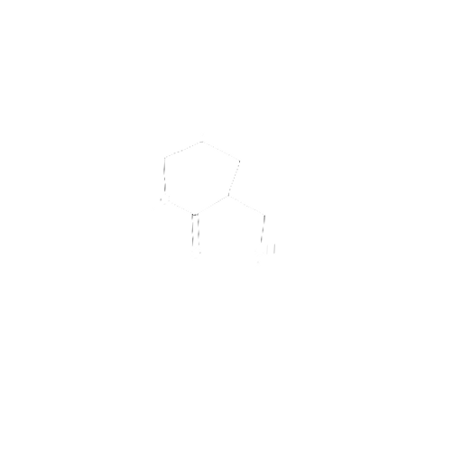 O=C1OCCCC1CO